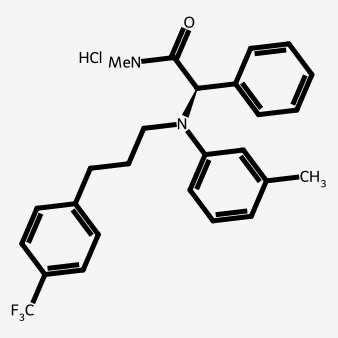 CNC(=O)[C@@H](c1ccccc1)N(CCCc1ccc(C(F)(F)F)cc1)c1cccc(C)c1.Cl